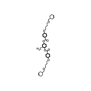 Cc1cc(OC(=O)c2ccc(OCCCCOCC3CC=CCC3)cc2)ccc1OC(=O)c1ccc(OCCCCOCC2CC=CCC2)cc1